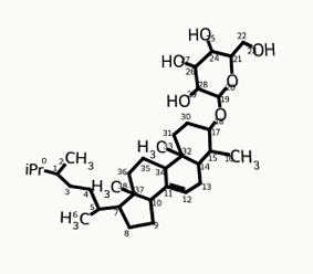 CC(C)C(C)CCC(C)C1CCC2C3=CCC4C(C)C(OC5OC(CO)C(O)C(O)C5O)CCC4(C)C3CCC21C